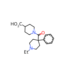 CCN1CCC(C(=O)N2CCC(C(=O)O)CC2)(c2ccccc2)CC1